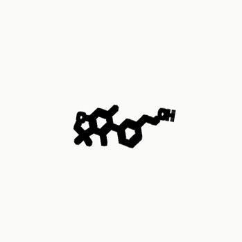 Cc1cc2c(c(C)c1-c1cccc(CCO)c1)C(C)(C)CO2